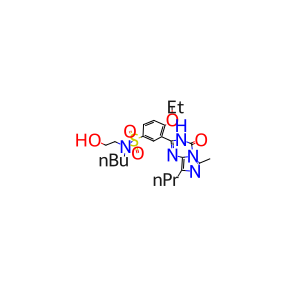 CCCCN(CCO)S(=O)(=O)c1ccc(OCC)c(-c2nc3c(CCC)nc(C)n3c(=O)[nH]2)c1